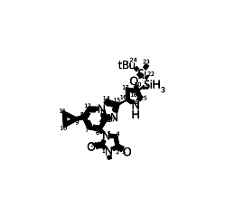 CN1C(=O)CN(c2cc(C3CC3)cn3cc([C@H]4C[C@]([SiH3])(O[Si](C)(C)C(C)(C)C)CN4)nc23)C1=O